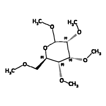 COC[C@H]1OC(OC)[C@H](OC)[C@H](OC)[C@@H]1OC